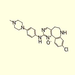 CN1CCN(c2ccc(Nc3ncc4c([n+]3[O-])-c3ccc(Cl)cc3NCC4)cc2)CC1